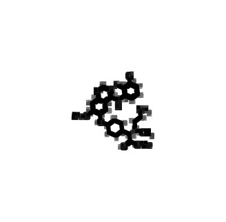 COC(=O)[C@H](C1CCC(Oc2cc3c(Nc4cccc(Cl)c4F)ncnc3cc2OC)CC1)N(C)CCN